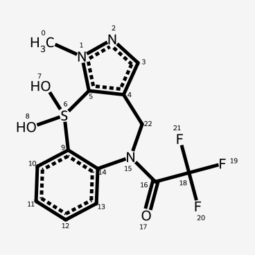 Cn1ncc2c1S(O)(O)c1ccccc1N(C(=O)C(F)(F)F)C2